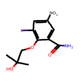 CC(C)(O)COc1c(I)cc([N+](=O)[O-])cc1C(N)=O